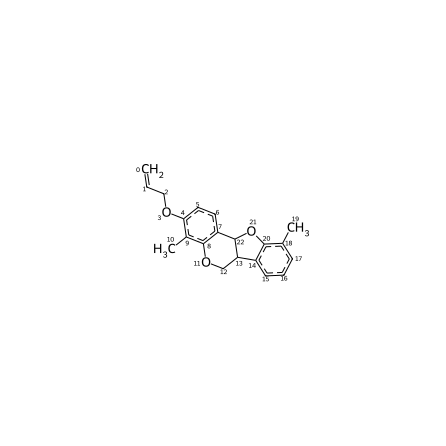 C=CCOc1ccc2c(c1C)OCC1c3cccc(C)c3OC21